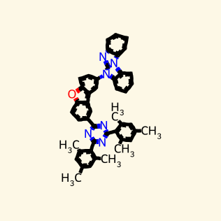 Cc1cc(C)c(-c2nc(-c3ccc4oc5ccc(-n6c7ccccc7n7c8ccccc8nc67)cc5c4c3)nc(-c3c(C)cc(C)cc3C)n2)c(C)c1